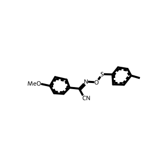 COc1ccc(/C(C#N)=N/OSc2ccc(C)cc2)cc1